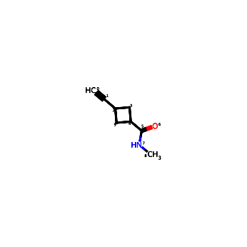 C#CC1CC(C(=O)NC)C1